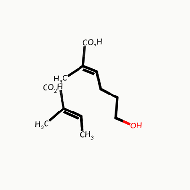 CC(=CCCCO)C(=O)O.CC=C(C)C(=O)O